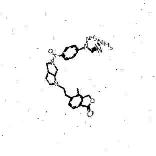 Cc1c(CCN2CCC3CN([S+]([O-])c4ccc(N(N)/C=N\N)cc4)CC32)ccc2c1COC2=O